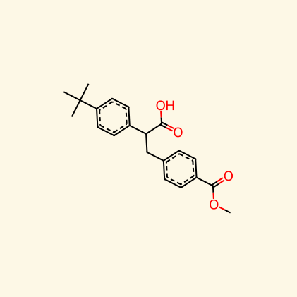 COC(=O)c1ccc(CC(C(=O)O)c2ccc(C(C)(C)C)cc2)cc1